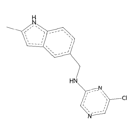 Cc1cc2cc(CNc3cncc(Cl)n3)ccc2[nH]1